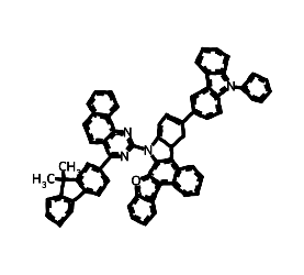 CC1(C)c2ccccc2-c2ccc(-c3nc(N4C5=CC=C(c6ccc7c(c6)c6ccccc6n7-c6ccccc6)CC5c5c4c4oc6ccccc6c4c4ccccc54)nc4c3ccc3ccccc34)cc21